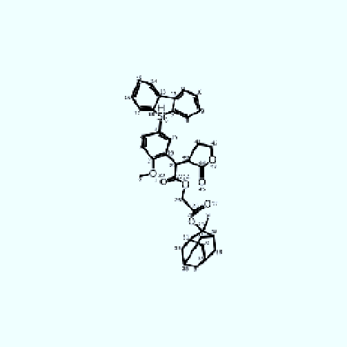 COc1ccc([SiH]2c3ccccc3-c3ccccc32)cc1C(C(=O)OCC(=O)OC1(C)C2CC3CC(C2)CC1C3)C1CCOC1=O